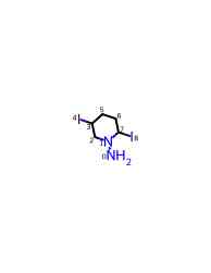 NN1CC(I)CCC1I